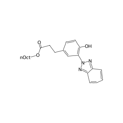 CCCCCCCCOC(=O)CCc1ccc(O)c(-n2nc3ccccc3n2)c1